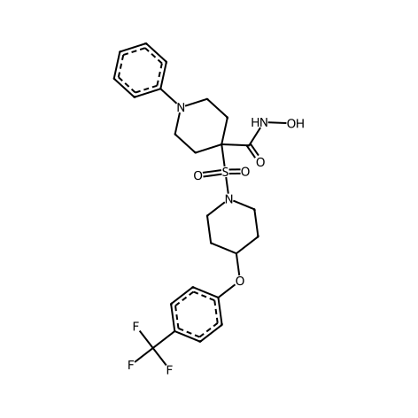 O=C(NO)C1(S(=O)(=O)N2CCC(Oc3ccc(C(F)(F)F)cc3)CC2)CCN(c2ccccc2)CC1